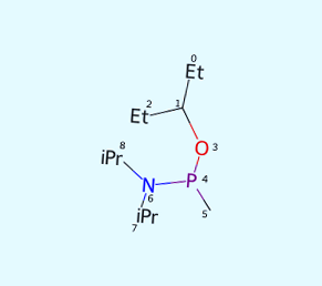 CCC(CC)OP(C)N(C(C)C)C(C)C